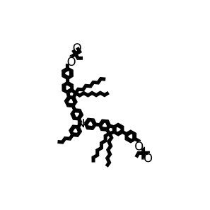 CCCCCCCCC1(CCCCCCCC)c2cc(-c3ccc(COCC4(CC)COC4)cc3)ccc2-c2ccc(-c3ccc(N(c4ccc(CCCC)cc4)c4ccc(-c5ccc6c(c5)C(CCCCCCCC)(CCCCCCCC)c5cc(-c7ccc(COCC8(CC)COC8)cc7)ccc5-6)cc4)cc3)cc21